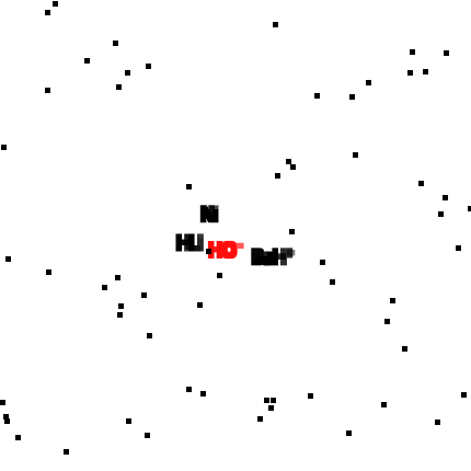 [BaH+].[LiH].[Ni].[OH-]